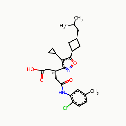 Cc1ccc(Cl)c(NC(=O)C[C@@H](CC(=O)O)c2noc([C@H]3C[C@@H](CC(C)C)C3)c2C2CC2)c1